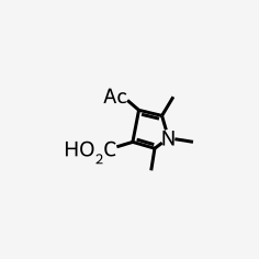 CC(=O)c1c(C(=O)O)c(C)n(C)c1C